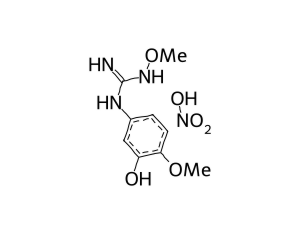 CONC(=N)Nc1ccc(OC)c(O)c1.O=[N+]([O-])O